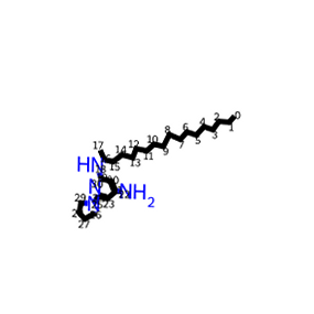 CCCCCCCCCCCCCCCCC(C)Nc1cc(N)cc(N2CCCC2)n1